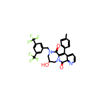 Cc1ccc(-c2c3n(c(=O)c4ncccc24)CC(O)CN(Cc2cc(C(F)(F)F)cc(C(F)(F)F)c2)C3=O)cc1